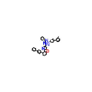 Cc1cccc(-c2ccc(-c3nc(-c4ccccc4)nc(-c4cnc5c(c4)oc4cccc(-c6ccc(-c7ccccc7)cc6)c45)n3)cc2)c1